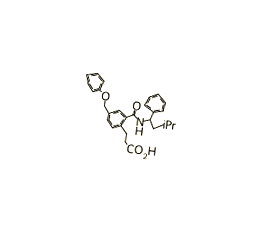 CC(C)CC(NC(=O)c1cc(COc2ccccc2)ccc1CCC(=O)O)c1ccccc1